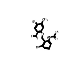 CCC(=O)Nc1cccc(Br)c1COc1cc(C)c(CC)cc1C(F)F